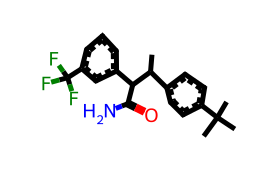 CC(c1ccc(C(C)(C)C)cc1)C(C(N)=O)c1cccc(C(F)(F)F)c1